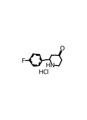 Cl.O=C1CCNC(c2ccc(F)cc2)C1